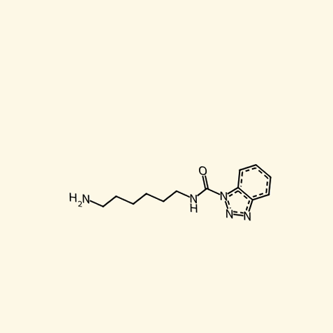 NCCCCCCNC(=O)n1nnc2ccccc21